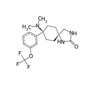 CN(C)[C@]1(c2cccc(OC(F)(F)F)c2)CC[C@@]2(CC1)CNC(=O)N2